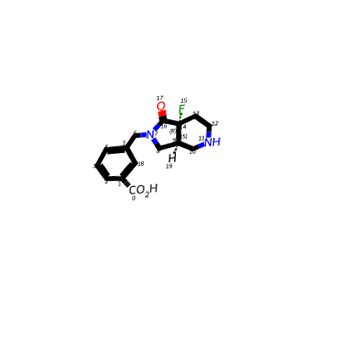 O=C(O)c1cccc(CN2C[C@@H]3CNCC[C@]3(F)C2=O)c1